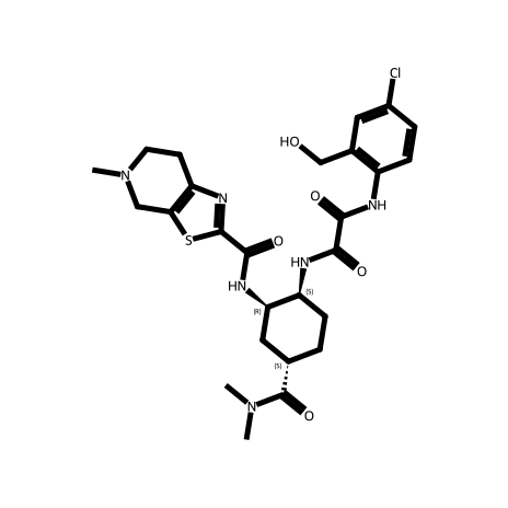 CN1CCc2nc(C(=O)N[C@@H]3C[C@@H](C(=O)N(C)C)CC[C@@H]3NC(=O)C(=O)Nc3ccc(Cl)cc3CO)sc2C1